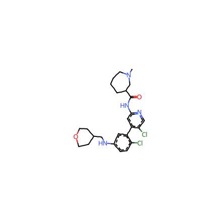 CN1CCCCC(C(=O)Nc2cc(-c3cc(NCC4CCOCC4)ccc3Cl)c(Cl)cn2)C1